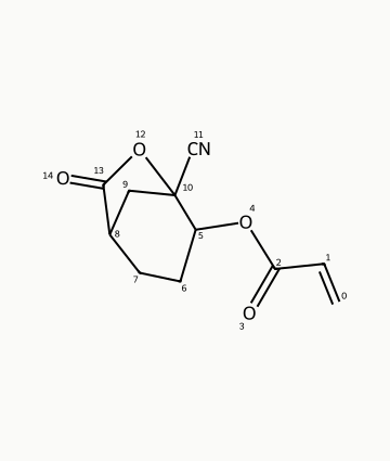 C=CC(=O)OC1CCC2CC1(C#N)OC2=O